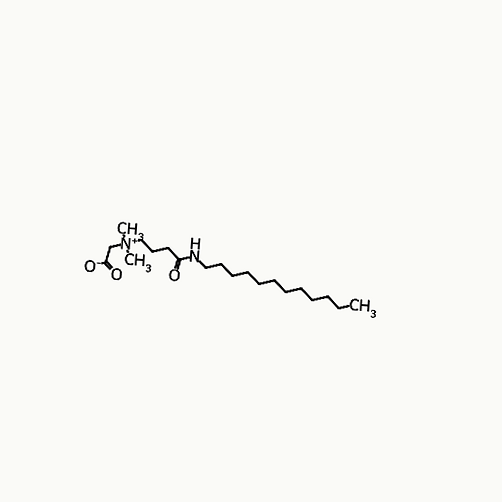 CCCCCCCCCCCCNC(=O)CCC[N+](C)(C)CC(=O)[O-]